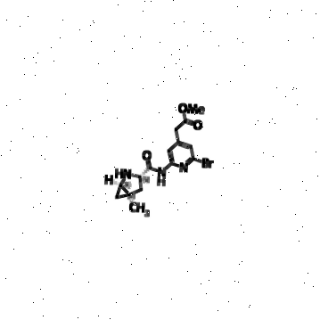 COC(=O)Cc1cc(Br)nc(NC(=O)[C@@H]2C[C@@]3(C)C[C@H]3N2)c1